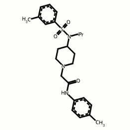 Cc1ccc(NC(=O)CN2CCC(N(C(C)C)S(=O)(=O)c3cccc(C)c3)CC2)cc1